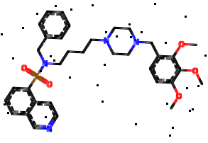 COc1ccc(CN2CCN(CCCCN(Cc3ccccc3)S(=O)(=O)c3cccc4cnccc34)CC2)c(OC)c1OC